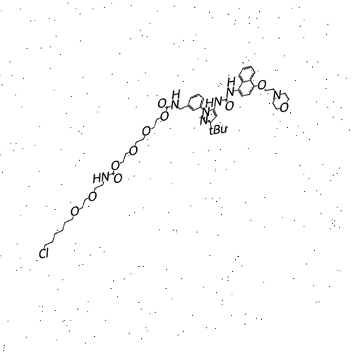 CC(C)(C)c1cc(NC(=O)Nc2ccc(OCCN3CCOCC3)c3ccccc23)n(-c2cccc(CNC(=O)OCCOCCOCCOC(=O)NCCOCCOCCCCCCCl)c2)n1